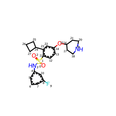 O=S(=O)(Nc1cccc(F)c1)c1ccc(OC2CCNCC2)cc1C1CCC1